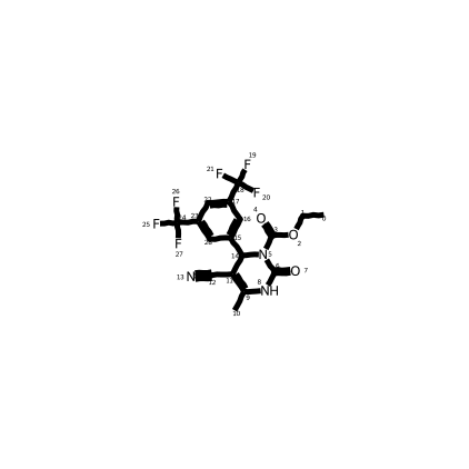 CCOC(=O)N1C(=O)NC(C)=C(C#N)C1c1cc(C(F)(F)F)cc(C(F)(F)F)c1